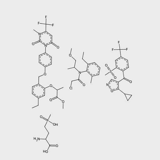 CCc1ccc(COc2ccc(-n3c(=O)cc(C(F)(F)F)n(C)c3=O)cc2)c(OC(C)C(=O)OC)c1.CCc1cccc(C)c1N(C(=O)CCl)C(C)COC.CP(=O)(O)CCC(N)C(=O)O.CS(=O)(=O)c1cc(C(F)(F)F)ccc1C(=O)c1cnoc1C1CC1